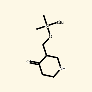 CC(C)(C)[Si](C)(C)OCC1CNCCC1=O